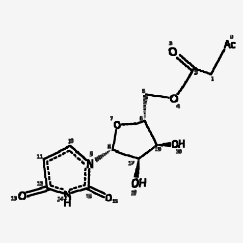 CC(=O)CC(=O)OC[C@H]1O[C@@H](n2ccc(=O)[nH]c2=O)[C@H](O)[C@@H]1O